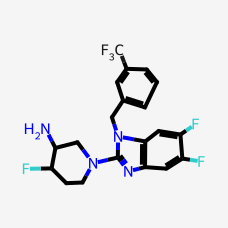 NC1CN(c2nc3cc(F)c(F)cc3n2Cc2cccc(C(F)(F)F)c2)CCC1F